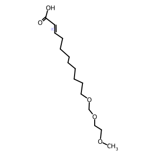 COCCOCOCCCCCCCC/C=C/C(=O)O